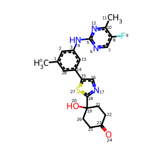 Cc1cc(Nc2ncc(F)c(C)n2)cc(-c2cnc(C3(O)CCC(=O)CC3)s2)c1